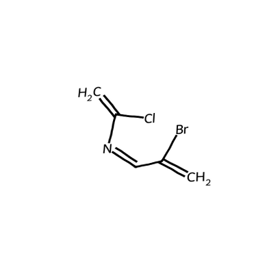 C=C(Br)/C=N\C(=C)Cl